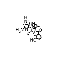 Cc1c[nH]nc1-n1c(C(Nc2nc(N)nc(N)c2C#N)C2CC2)nc2c(C#N)cccc2c1=O